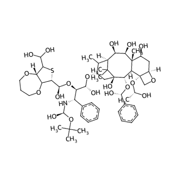 CC1[C@@H](O[C@H](O)[C@H](O[C@@H](O)[C@H]2SC(C(O)O)[C@H]3OCCCOC32)[C@@H](N[C@H](O)OC(C)(C)C)c2ccccc2)C[C@@]2(O)[C@@H](O[C@@H](O)c3ccccc3)[C@@H]3[C@]4(O[C@@H](C)O)CO[C@@H]4C[C@H](O)[C@@]3(C)[C@H](O)[C@H](O)[C@H]1C2(C)C